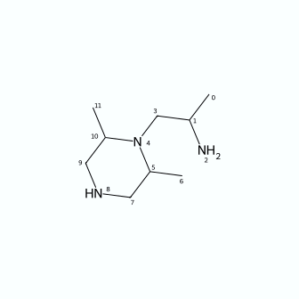 CC(N)CN1C(C)CNCC1C